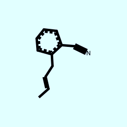 CC=CCc1ccccc1C#N